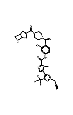 C#CCn1cc(-c2cnc(C(=O)Nc3ccc(C(=O)N4CCN(C(=O)N5CC6CNC6C5)CC4)c(Cl)c3)n2C)c(C(F)(F)F)n1